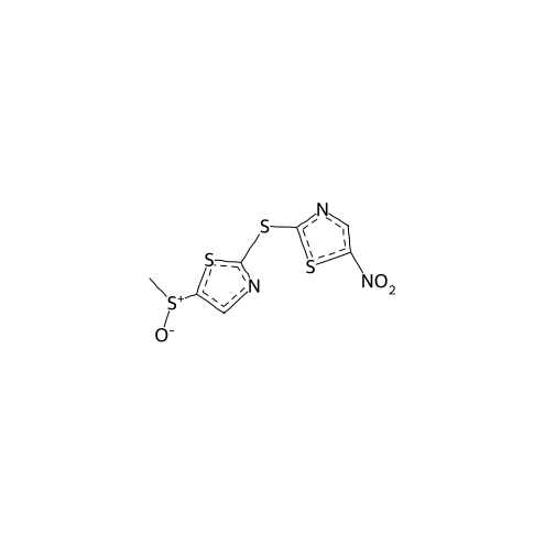 C[S+]([O-])c1cnc(Sc2ncc([N+](=O)[O-])s2)s1